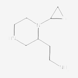 NCCC1CNCCN1C1CO1